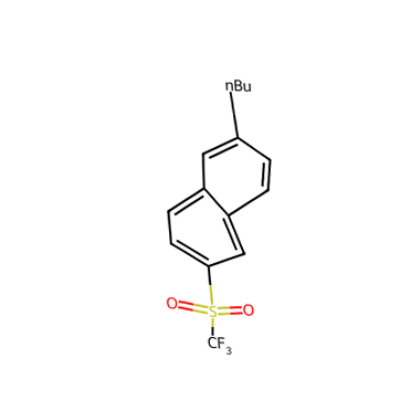 CCCCc1ccc2cc(S(=O)(=O)C(F)(F)F)ccc2c1